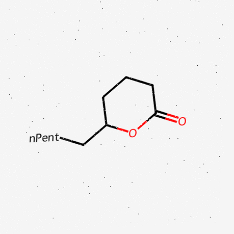 CCCCCCC1CCCC(=O)O1